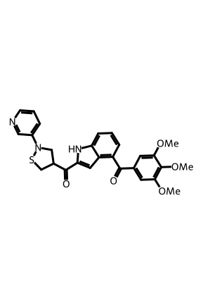 COc1cc(C(=O)c2cccc3[nH]c(C(=O)C4CSN(c5cccnc5)C4)cc23)cc(OC)c1OC